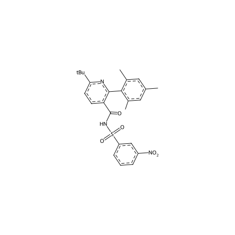 Cc1cc(C)c(-c2nc(C(C)(C)C)ccc2C(=O)NS(=O)(=O)c2cccc([N+](=O)[O-])c2)c(C)c1